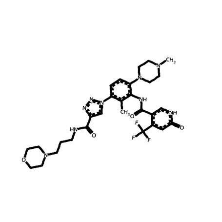 Cc1c(-n2cc(C(=O)NCCCN3CCOCC3)nn2)ccc(N2CCN(C)CC2)c1NC(=O)c1c[nH]c(=O)cc1C(F)(F)F